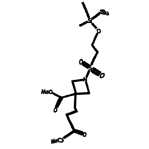 COC(=O)CCC1(C(=O)OC)CN(S(=O)(=O)CCO[Si](C)(C)C(C)(C)C)C1